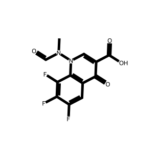 CN(C=O)n1cc(C(=O)O)c(=O)c2cc(F)c(F)c(F)c21